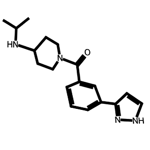 CC(C)NC1CCN(C(=O)c2cccc(-c3cc[nH]n3)c2)CC1